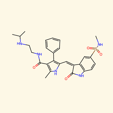 CNS(=O)(=O)c1ccc2c(c1)/C(=C/c1[nH]c(C)c(C(=O)NCCNC(C)C)c1-c1ccccc1)C(=O)N2